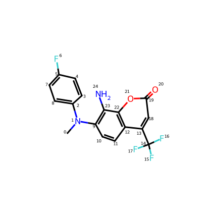 CN(c1ccc(F)cc1)c1ccc2c(C(F)(F)F)cc(=O)oc2c1N